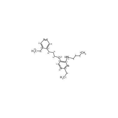 CCCCNc1nc(CC)ncc1OCCCc1ccccc1CC